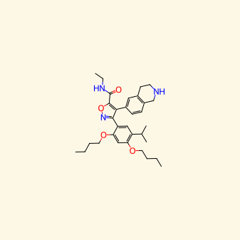 CCCCOc1cc(OCCCC)c(C(C)C)cc1-c1noc(C(=O)NCC)c1-c1ccc2c(c1)CCNC2